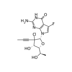 CC#CC1(Cl)[C@@H](O)[C@@H]([C@@H](C)O)O[C@H]1n1cc(F)c2c(=O)[nH]c(N)nc21